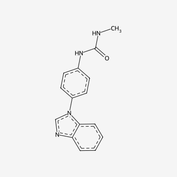 CNC(=O)Nc1ccc(-n2cnc3ccccc32)cc1